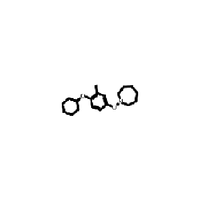 Cc1cc(ON2CCCCCC2)ccc1OC1CCCCC1